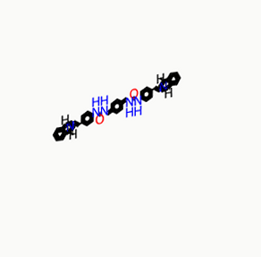 O=C(NCC1CCC(CNC(=O)N[C@H]2CC[C@H](CCN3[C@@H]4CC[C@H]3c3ccccc34)CC2)CC1)N[C@H]1CC[C@H](CCN2[C@@H]3CC[C@H]2c2ccccc23)CC1